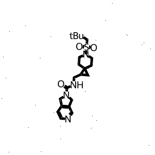 CC(C)(C)CS(=O)(=O)N1CCC2(CC1)CC2CNC(=O)N1Cc2ccncc2C1